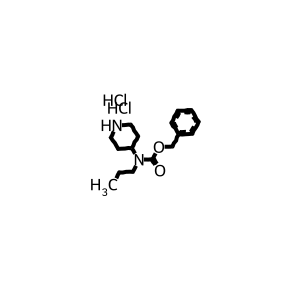 CCCN(C(=O)OCc1ccccc1)C1CCNCC1.Cl.Cl